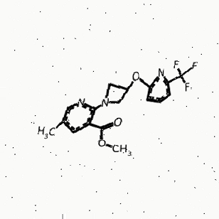 COC(=O)c1cc(C)cnc1N1CC(Oc2cccc(C(F)(F)F)n2)C1